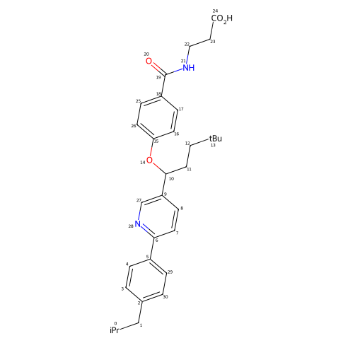 CC(C)Cc1ccc(-c2ccc(C(CCC(C)(C)C)Oc3ccc(C(=O)NCCC(=O)O)cc3)cn2)cc1